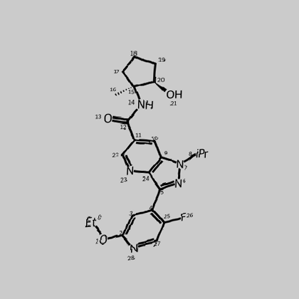 CCOc1cc(-c2nn(C(C)C)c3cc(C(=O)N[C@@]4(C)CCC[C@H]4O)cnc23)c(F)cn1